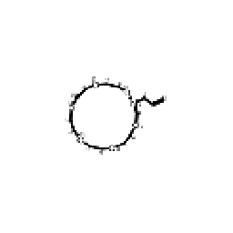 C=CCN1COCCOCCOCCOCCOCCO1